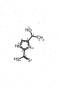 CC(O)c1c[nH]c(C(=S)S)n1